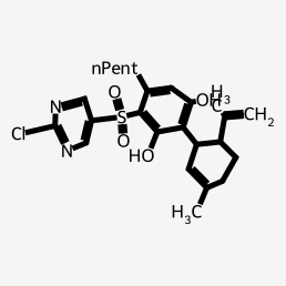 C=C(C)C1CCC(C)=CC1c1c(O)cc(CCCCC)c(S(=O)(=O)c2cnc(Cl)nc2)c1O